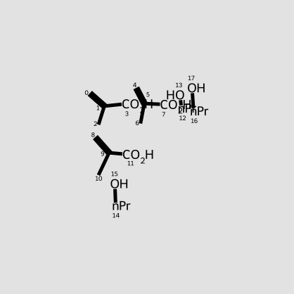 C=C(C)C(=O)O.C=C(C)C(=O)O.C=C(C)C(=O)O.CCCO.CCCO.CCCO